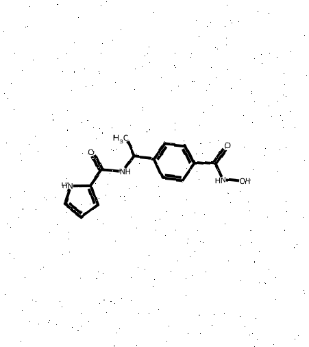 CC(NC(=O)c1ccc[nH]1)c1ccc(C(=O)NO)cc1